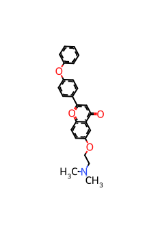 CN(C)CCOc1ccc2oc(-c3ccc(Oc4ccccc4)cc3)cc(=O)c2c1